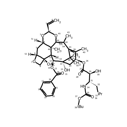 C=C[C@@H]1O[C@H]2C[C@H]3OC[C@@]3(OC(C)=O)[C@H]3[C@H](OC(=O)c4ccccc4)[C@]4(O)C[C@H](OC(=O)[C@@H](O)[C@H](CC(C)C)NC(=O)OC(C)(C)C)C(C)=C(C(C)[C@H](O1)[C@]23C)C4(C)C